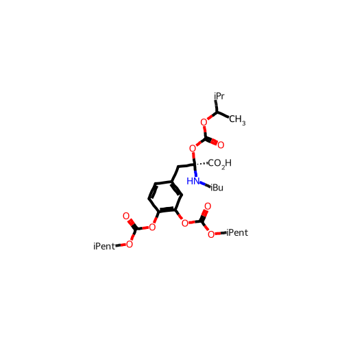 CCCC(C)OC(=O)Oc1ccc(C[C@](NC(C)CC)(OC(=O)OC(C)C(C)C)C(=O)O)cc1OC(=O)OC(C)CCC